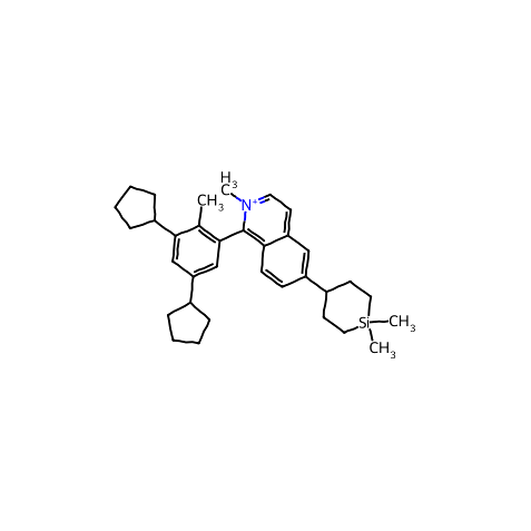 Cc1c(-c2c3ccc(C4CC[Si](C)(C)CC4)cc3cc[n+]2C)cc(C2CCCC2)cc1C1CCCC1